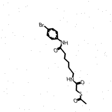 CC(=O)SCC(=O)NCCCCCC(=O)Nc1ccc(Br)cc1